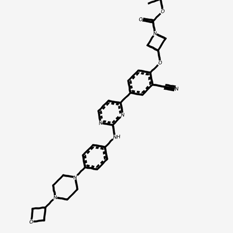 CC(C)(C)OC(=O)N1CC(Oc2ccc(-c3ccnc(Nc4ccc(N5CCN(C6COC6)CC5)cc4)n3)cc2C#N)C1